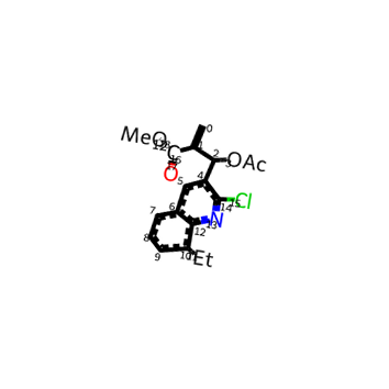 C=C(C(OC(C)=O)c1cc2cccc(CC)c2nc1Cl)[12C](=O)OC